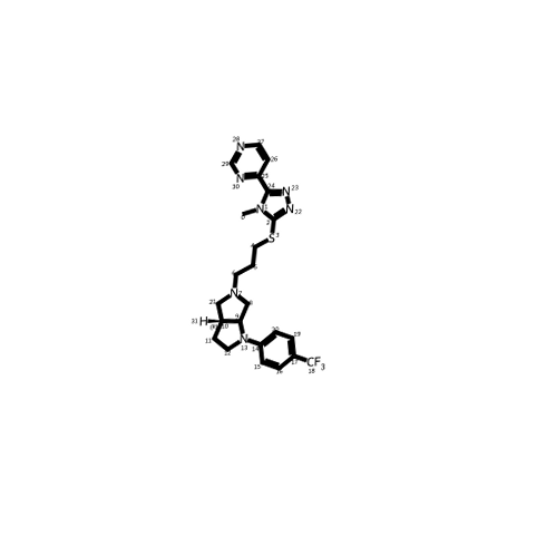 Cn1c(SCCCN2CC3[C@H](CCN3c3ccc(C(F)(F)F)cc3)C2)nnc1-c1ccncn1